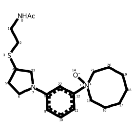 CC(=O)NCCSC1CCN(c2cccc([N+]3([O-])CCCCCCC3)c2)C1